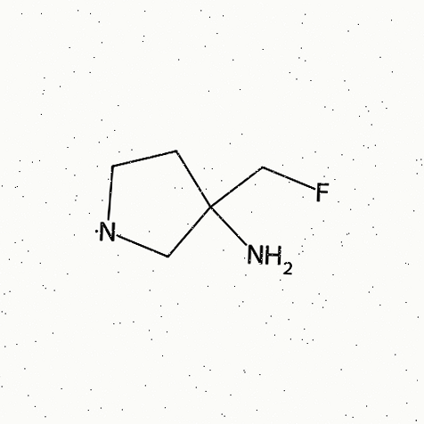 NC1(CF)CC[N]C1